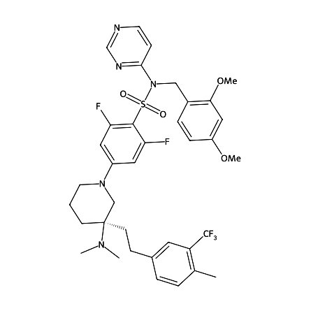 COc1ccc(CN(c2ccncn2)S(=O)(=O)c2c(F)cc(N3CCC[C@](CCc4ccc(C)c(C(F)(F)F)c4)(N(C)C)C3)cc2F)c(OC)c1